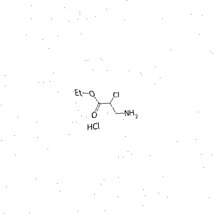 CCOC(=O)C(Cl)CN.Cl